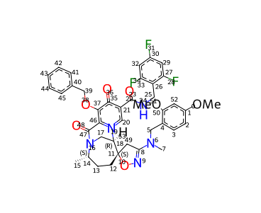 COc1ccc(CN(C)C2=NO[C@@]3(CC[C@H](C)N4C[C@H]3n3cc(C(=O)NCc5c(F)cc(F)cc5F)c(=O)c(OCc5ccccc5)c3C4=O)C2)c(OC)c1